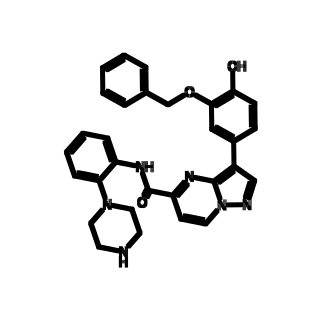 O=C(Nc1ccccc1N1CCNCC1)c1ccn2ncc(-c3ccc(O)c(OCc4ccccc4)c3)c2n1